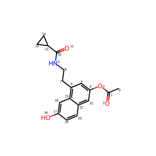 CC(=O)Oc1cc(CCNC(=O)C2CC2)c2cc(O)ccc2c1